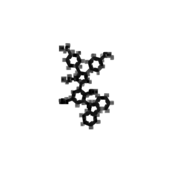 Cc1ccc(-c2nc(-c3cc(C(C)(C)C)cc(-n4c5ccccc5c5ccccc54)c3O)n(C)c2-c2ccc(C)cc2)cc1